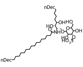 CCCCCCCCCCCCCCCCCCCCCCCCCC(=O)N[C@@H](COC1OC(CO)C(O)C(OS(=O)(=O)O)C1O)[C@H](O)[C@H](O)CCCCCCCCCCCCCC